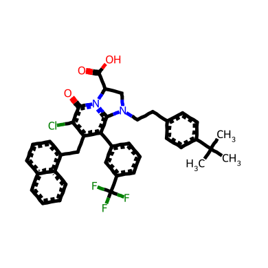 CC(C)(C)c1ccc(CCN2CC(C(=O)O)n3c2c(-c2cccc(C(F)(F)F)c2)c(Cc2cccc4ccccc24)c(Cl)c3=O)cc1